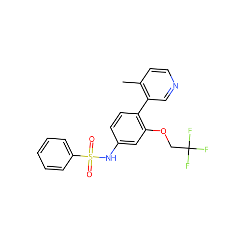 Cc1ccncc1-c1ccc(NS(=O)(=O)c2ccccc2)cc1OCC(F)(F)F